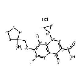 Cl.NC1(COc2c(F)cc3c(=O)c(C(=O)O)cn(C4CC4)c3c2Cl)CCCC1